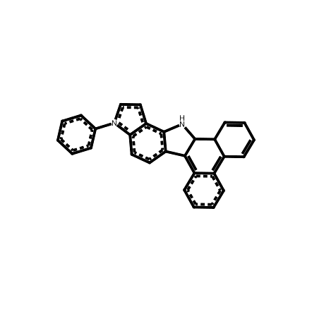 C1=CC2=c3ccccc3=C3c4ccc5c(ccn5-c5ccccc5)c4NC3C2C=C1